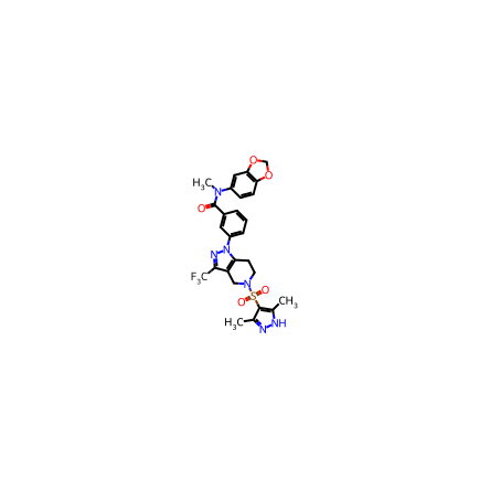 Cc1n[nH]c(C)c1S(=O)(=O)N1CCc2c(c(C(F)(F)F)nn2-c2cccc(C(=O)N(C)c3ccc4c(c3)OCO4)c2)C1